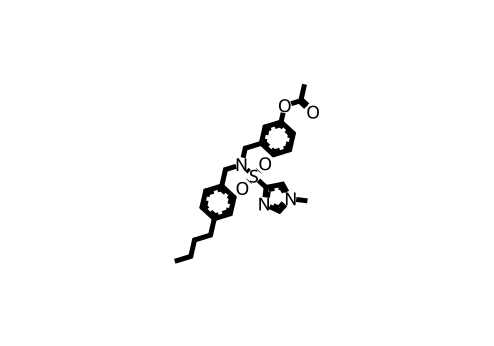 CCCCc1ccc(CN(Cc2cccc(OC(C)=O)c2)S(=O)(=O)c2cn(C)cn2)cc1